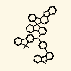 CC1(C)c2ccccc2-c2ccc(N(C3=CC=CC4C3C3=C(CCC=C3)C43c4ccccc4C4c5sc6ccccc6c5C=CC43)c3ccc(-c4cccc5sc6ccccc6c45)cc3)cc21